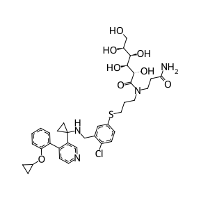 NC(=O)CCN(CCCSc1ccc(Cl)c(CNC2(c3cnccc3-c3ccccc3OC3CC3)CC2)c1)C(=O)[C@@H](O)[C@@H](O)[C@H](O)[C@@H](O)CO